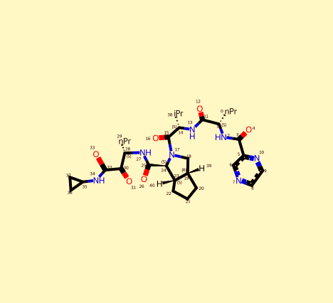 CCC[C@H](NC(=O)c1cnccn1)C(=O)N[C@H](C(=O)N1C[C@@H]2CCC[C@@H]2[C@H]1C(=O)N[C@@H](CCC)C(=O)C(=O)NC1CC1)C(C)C